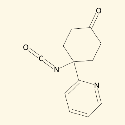 O=C=NC1(c2ccccn2)CCC(=O)CC1